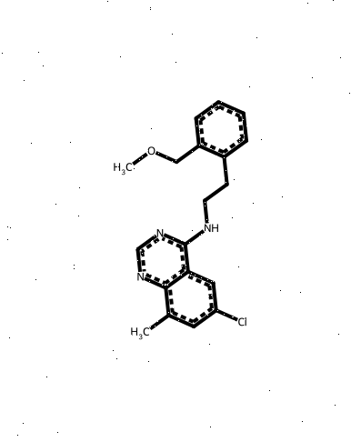 COCc1ccccc1CCNc1ncnc2c(C)cc(Cl)cc12